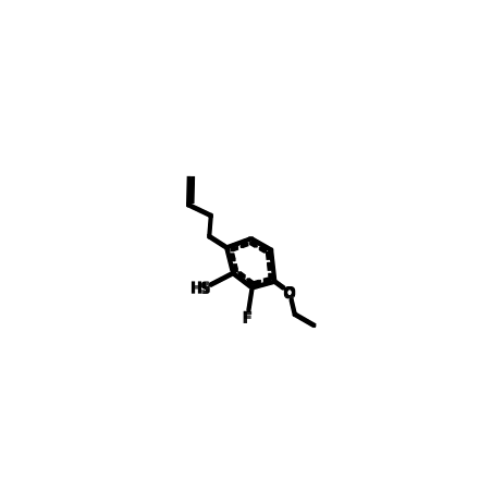 C=CCCc1ccc(OCC)c(F)c1S